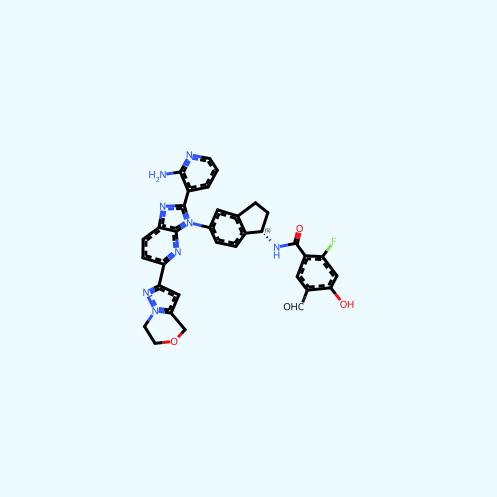 Nc1ncccc1-c1nc2ccc(-c3cc4n(n3)CCOC4)nc2n1-c1ccc2c(c1)CC[C@@H]2NC(=O)c1cc(C=O)c(O)cc1F